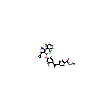 COC(=O)c1ccc(C2CC2c2ccc(OCc3c(-c4c(Cl)cccc4Cl)nsc3C3CC3)cc2Cl)cc1